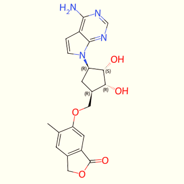 Cc1cc2c(cc1OC[C@H]1C[C@@H](n3ccc4c(N)ncnc43)[C@H](O)[C@@H]1O)C(=O)OC2